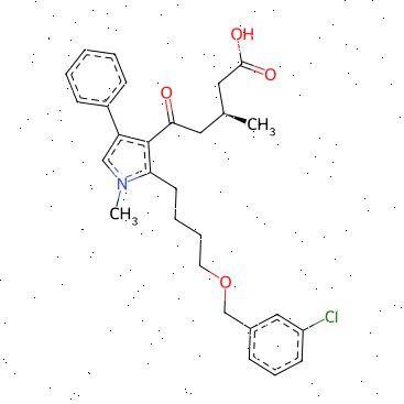 C[C@H](CC(=O)O)CC(=O)c1c(-c2ccccc2)cn(C)c1CCCCOCc1cccc(Cl)c1